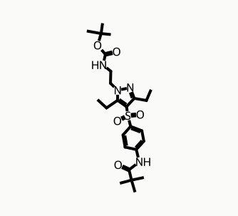 CCc1nn(CCNC(=O)OC(C)(C)C)c(CC)c1S(=O)(=O)c1ccc(NC(=O)C(C)(C)C)cc1